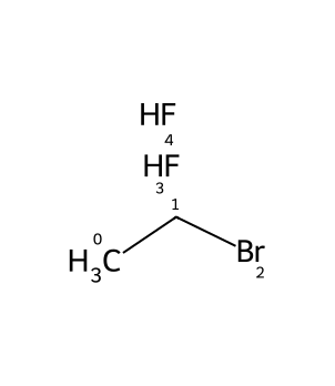 CCBr.F.F